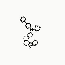 C1=C(N(c2ccccc2)c2ccc(-c3ccccc3)cc2)CCC2=C1CCC1=C2c2c(sc3ccccc23)CC1